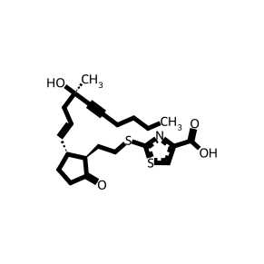 CCCCC#C[C@](C)(O)CC=C[C@H]1CCC(=O)[C@@H]1CCSc1nc(C(=O)O)cs1